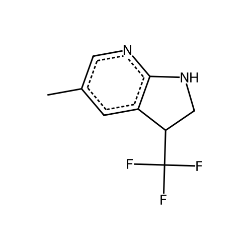 Cc1cnc2c(c1)C(C(F)(F)F)CN2